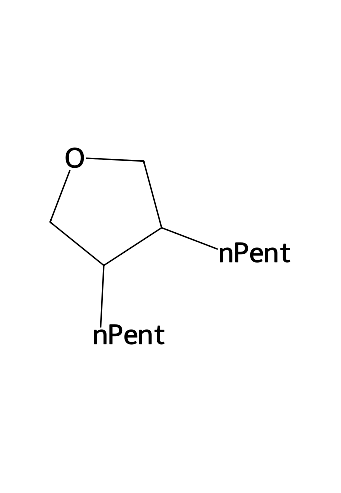 CCCCCC1COCC1CCCCC